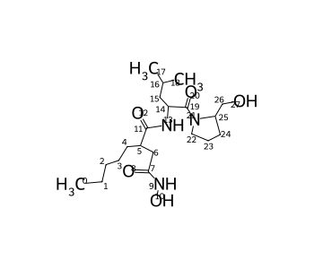 CCCCCC(CC(=O)NO)C(=O)NC(CC(C)C)C(=O)N1CCCC1CO